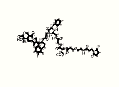 CC[C@@]1(O)C(=O)OCc2c1cc1n(c2=O)Cc2c-1nc1cc(F)c(C)c3c1c2[C@@H](NC(=O)CNC(=O)[C@H](Cc1ccccc1)NC(=O)CNC(=O)CNC(=O)[C@H](CC(=O)O)NC(=O)CCOCCNC(=O)CCN1C(=O)C=CC1=O)CC3